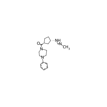 CN=CN[C@H]1CC[C@H](C(=O)N2CCN(c3ccccc3)CC2)C1